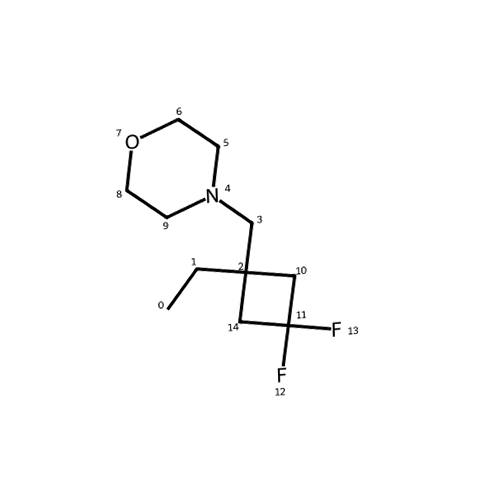 CCC1(CN2CCOCC2)CC(F)(F)C1